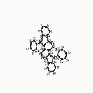 Cc1nc2c3ccccc3n(-c3ccccc3)c2c2c(C)nc3c4ccccc4n(-c4ccccc4)c3c12